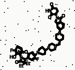 CCC1(CC)C(=O)N(c2cccc(F)c2O)[C@H]1c1cc(F)c(N2CCC(N3CCN(CC4CCN(c5ccc6c(c5)CN([C@H]5CCC(=O)NC5=O)C6=O)CC4)CC3)CC2)cc1OC